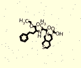 CCOC(=O)C(CCc1ccccc1)N[C@@H](C)C(=O)N1CC2CSCCC2C[C@H]1C(=O)O